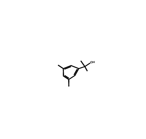 Cc1cc(C)cc(C(C)(C)O)c1